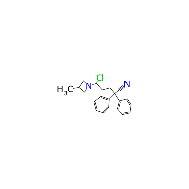 CC1CN(C(Cl)CCC(C#N)(c2ccccc2)c2ccccc2)C1